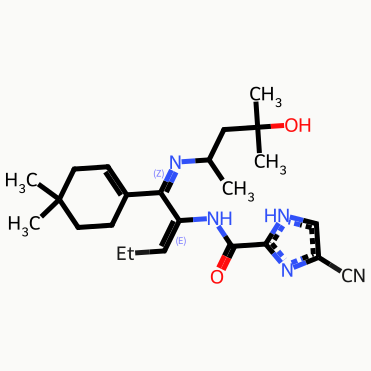 CC/C=C(NC(=O)c1nc(C#N)c[nH]1)\C(=N/C(C)CC(C)(C)O)C1=CCC(C)(C)CC1